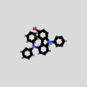 Brc1ccc2c(c1)c1c(N(c3ccccc3)c3ccccc3)cccc1n2-c1ccccc1